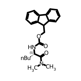 CCCC[C@H](NC(=O)OCC1c2ccccc2-c2ccccc21)C(=O)N(C)C